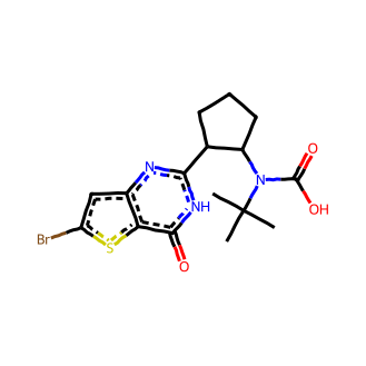 CC(C)(C)N(C(=O)O)C1CCCC1c1nc2cc(Br)sc2c(=O)[nH]1